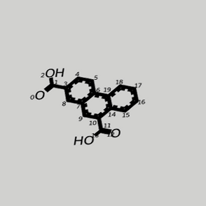 O=C(O)c1ccc2c(c1)cc(C(=O)O)c1ccccc12